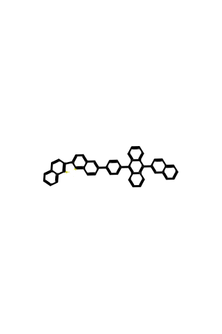 c1ccc2cc(-c3c4ccccc4c(-c4ccc(-c5ccc6c(ccc7c8ccc9ccccc9c8sc67)c5)cc4)c4ccccc34)ccc2c1